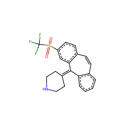 O=S(=O)(c1ccc2c(c1)C(=C1CCNCC1)c1ccccc1C=C2)C(F)(F)F